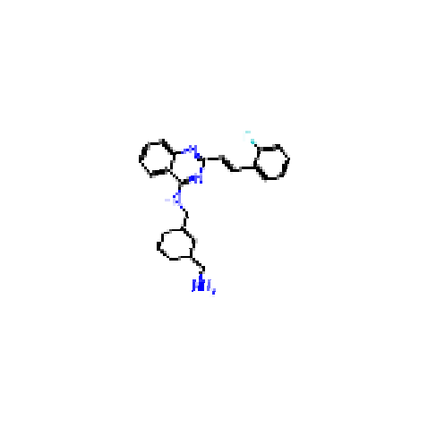 NCC1CCCC(CNc2nc(/C=C/c3ccccc3F)nc3ccccc23)C1